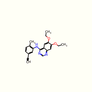 C#Cc1ccc(C)c(Nc2ncnc3cc(OCC)c(OCC)cc23)c1